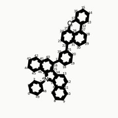 c1ccc(-n2c3c4ccccc4ccc3c3c(-c4cccc(-c5ccc6c7c(cccc57)-c5ccccc5O6)c4)cc4ccccc4c32)cc1